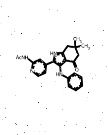 CC(=O)Nc1cc(-c2[nH]c3c(c2Nc2ccccc2)C(=O)CC(C)(C)C3)ccn1